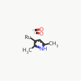 Cc1c[c]([Ru])c(C)[nH]1.[C]=O.[C]=O